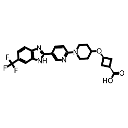 O=C(O)[C@H]1C[C@@H](OC2CCN(c3ccc(-c4nc5ccc(C(F)(F)F)cc5[nH]4)cn3)CC2)C1